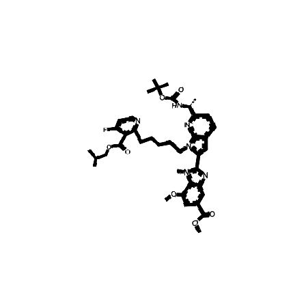 COC(=O)c1cc(OC)c2c(c1)nc(-c1cc3ccc([C@@H](C)NC(=O)OC(C)(C)C)nc3n1CCCCCc1nccc(F)c1C(=O)OCC(C)C)n2C